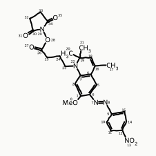 COc1cc2c(cc1N=Nc1ccc([N+](=O)[O-])cc1)C(C)=CC(C)(C)N2CCCC(=O)ON1C(=O)CCC1=O